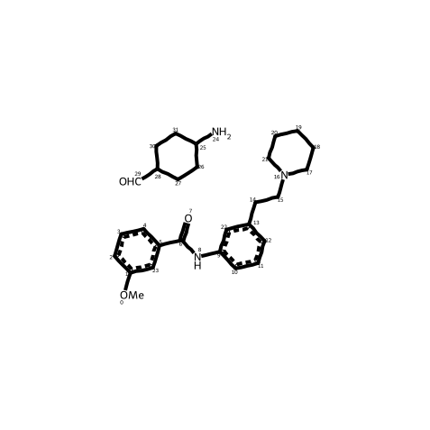 COc1cccc(C(=O)Nc2cccc(CCN3CCCCC3)c2)c1.NC1CCC(C=O)CC1